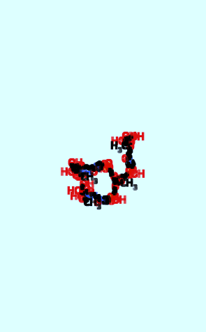 COCC(COCCCOP(=O)(O)OC1CCN(C(=O)CCCCOC2CC(CO)C(O)C(O)C2NC(C)=O)CC1)(COCCCOP(=O)(O)OC1CCN(C(=O)CCCCOC2OC(CO)C(O)C(O)C2C)CC1)COCCCOP(=O)(O)OC1CCN(C(=O)CCCCOC2OC(CO)C(O)C(O)C2NC(C)=O)CC1